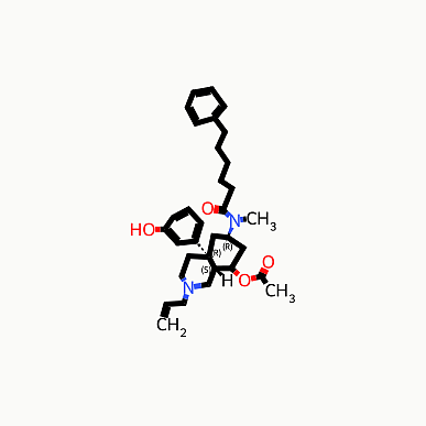 C=CCN1CC[C@@]2(c3cccc(O)c3)C[C@@H](N(C)C(=O)CCCCCc3ccccc3)CC(OC(C)=O)[C@@H]2C1